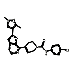 Cc1nn(C)cc1-c1cc2ncnc(C3=CCN(C(=O)Nc4ccc(Cl)cc4)CC3)c2s1